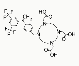 C=C(c1ccc(CN2CCCN(CC(=O)O)CCN(CC(=O)O)CCCN(CC(=O)O)CC2)cc1)c1cc(C(F)(F)F)cc(C(F)(F)F)c1